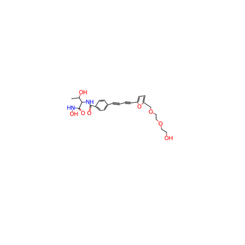 CC(O)C(NC(=O)c1ccc(C#CC#Cc2ccc(COCCOCCO)o2)cc1)C(=O)NO